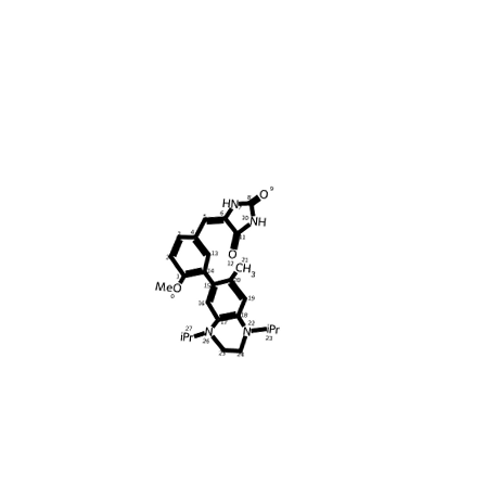 COc1ccc(C=C2NC(=O)NC2=O)cc1-c1cc2c(cc1C)N(C(C)C)CCN2C(C)C